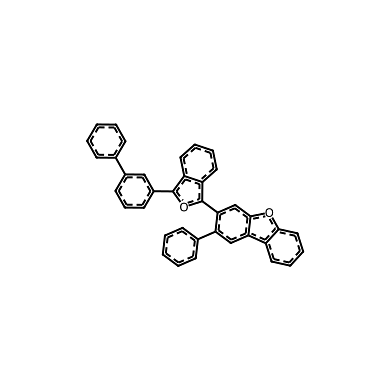 c1ccc(-c2cccc(-c3oc(-c4cc5oc6ccccc6c5cc4-c4ccccc4)c4ccccc34)c2)cc1